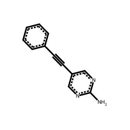 Nc1ncc(C#Cc2ccccc2)cn1